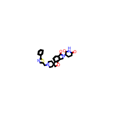 O=C1CCC(N2Cc3c(ccc4c3OCC43CCN(Cc4cnc(-c5ccccc5)s4)CC3)C2=O)C(=O)N1